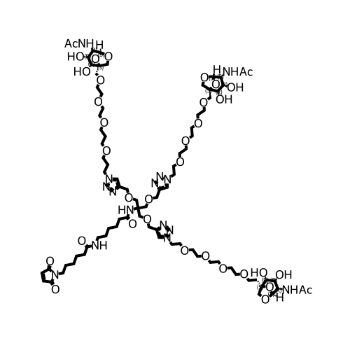 CC(=O)N[C@H]1[C@H]2OC[C@](CCOCCOCCOCCOCCn3cc(COCC(COCc4cn(CCCOCCCOCCOCCOC[C@@]56CO[C@@H](O5)[C@H](NC(C)=O)[C@@H](O)[C@H]6O)nn4)(COCc4cn(CCOCCOCCOCCOC[C@@]56CO[C@@H](O5)[C@H](NC(C)=O)[C@@H](O)[C@H]6O)nn4)NC(=O)CCCCCNC(=O)CCCCCN4C(=O)C=CC4=O)nn3)(O2)[C@H](O)[C@@H]1O